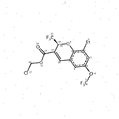 CCc1cc(OC(F)(F)F)cc2c1O[C@H](C(F)(F)F)C(C(=O)OCCl)=C2